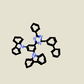 c1ccc(-c2cccc(-c3nc(-c4ccccc4)nc(-c4cc(-n5c6ccccc6c6ccccc65)cc(-n5c6ccccc6c6ccccc65)c4)n3)c2)cc1